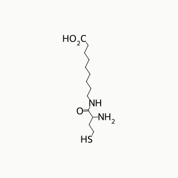 NC(CCS)C(=O)NCCCCCCCCC(=O)O